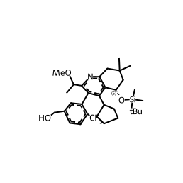 COC(C)c1nc2c(c(C3CCCC3)c1-c1cc(CO)ccc1C(F)(F)F)[C@@H](O[Si](C)(C)C(C)(C)C)CC(C)(C)C2